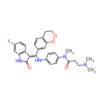 CN(C)CCC(=O)N(C)c1ccc(N/C(=C2\C(=O)Nc3cc(F)ccc32)c2ccc3c(c2)OOCC3)cc1